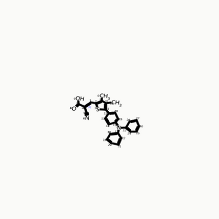 Cc1c(/C=C(\C#N)C(=O)O)sc(-c2ccc(N(c3ccccc3)c3ccccc3)cc2)c1C